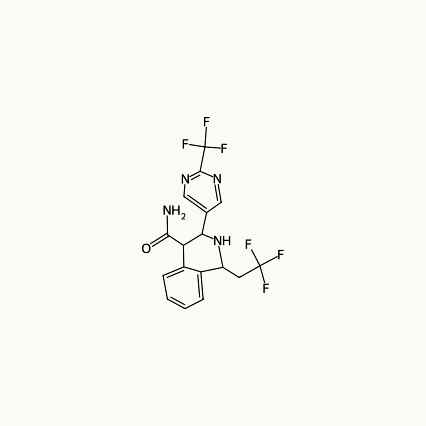 NC(=O)C1c2ccccc2C(CC(F)(F)F)NC1c1cnc(C(F)(F)F)nc1